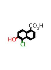 O=C(O)c1cccc2c(Cl)c(O)ccc12